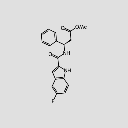 COC(=O)C[C@@H](NC(=O)c1cc2cc(F)ccc2[nH]1)c1ccccc1